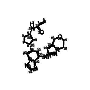 C=CC(=O)N[C@H]1CC[C@@H](c2cc(Nc3cc4n(n3)CCOC4)c3ncnn3c2)C1